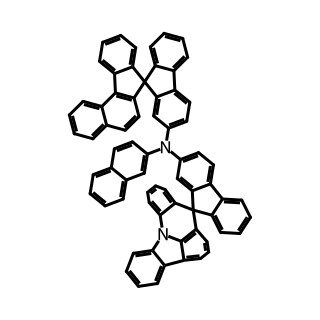 c1ccc2c(c1)-c1ccc(N(c3ccc4c(c3)C3(c5ccccc5-4)c4ccccc4-n4c5ccccc5c5cccc3c54)c3ccc4ccccc4c3)cc1C21c2ccccc2-c2c1ccc1ccccc21